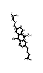 CC(C)=CCCc1ccc2c(O)c3cc(CCC=C(C)C)ccc3c(O)c2c1